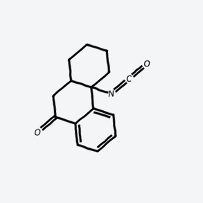 O=C=NC12CCCCC1CC(=O)c1ccccc12